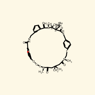 CS[C@@]1(CC(C)(C)C)C(=O)Nc2ccc(cc2)CCN(C)C(=O)CC(C)(C)CC(=O)N(C)CCOc2ccc(nc2)C(=O)NCc2cccc(c2)C(=O)N(C)[C@@H]1C